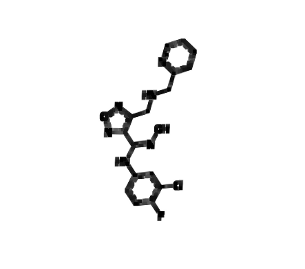 ON=C(Nc1ccc(F)c(Cl)c1)c1nonc1CNCc1ccccn1